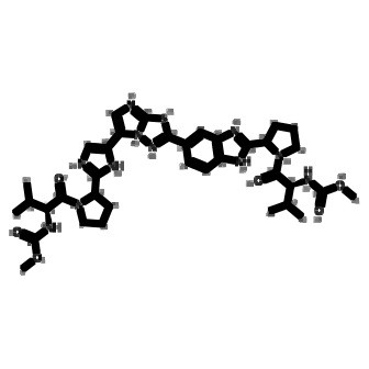 COC(=O)N[C@H](C(=O)N1CCCC1c1ncc(-c2cnc3sc(-c4ccc5[nH]c(C6CCCN6C(=O)[C@@H](NC(=O)OC)C(C)C)nc5c4)nn23)[nH]1)C(C)C